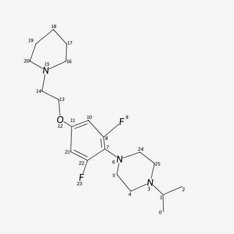 CC(C)N1CCN(c2c(F)cc(OCCN3CCCCC3)cc2F)CC1